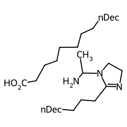 CCCCCCCCCCCCCC1=NCCN1C(C)N.CCCCCCCCCCCCCCCCCC(=O)O